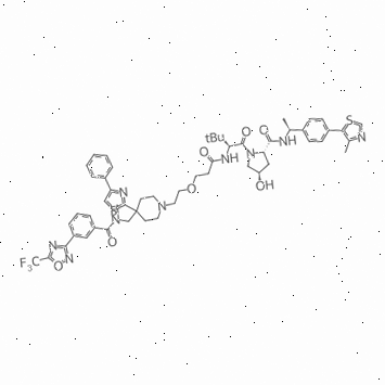 Cc1ncsc1-c1ccc([C@H](C)NC(=O)[C@@H]2C[C@@H](O)CN2C(=O)[C@@H](NC(=O)CCOCCN2CCC(CNC(=O)c3cccc(-c4noc(C(F)(F)F)n4)c3)(c3nc(-c4ccccc4)cs3)CC2)C(C)(C)C)cc1